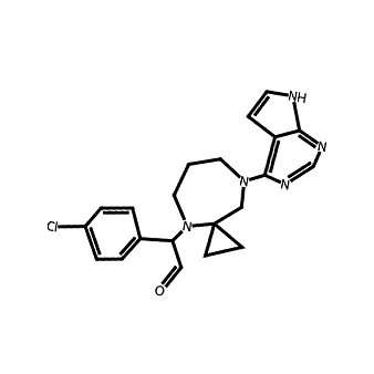 O=CC(c1ccc(Cl)cc1)N1CCCN(c2ncnc3[nH]ccc23)CC12CC2